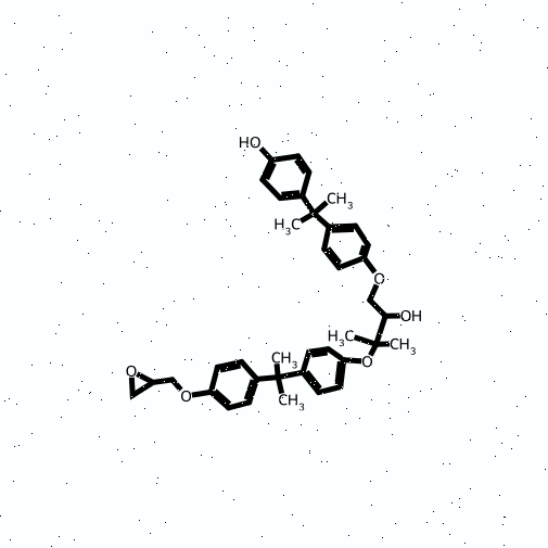 CC(C)(c1ccc(O)cc1)c1ccc(OCC(O)C(C)(C)Oc2ccc(C(C)(C)c3ccc(OCC4CO4)cc3)cc2)cc1